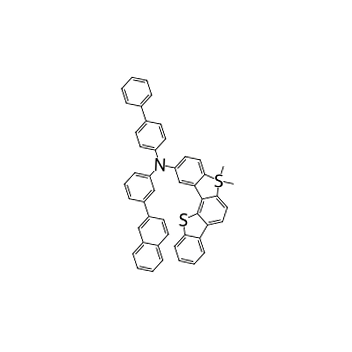 CS1(C)c2ccc(N(c3ccc(-c4ccccc4)cc3)c3cccc(-c4ccc5ccccc5c4)c3)cc2-c2c1ccc1c2sc2ccccc21